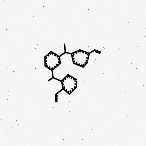 C=Cc1cccc(C(C)c2cccc(C(C)c3ccccc3C=C)c2)c1